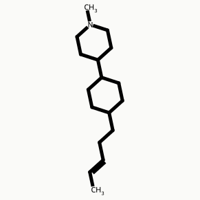 C/C=C/CCC1CCC(C2CCN(C)CC2)CC1